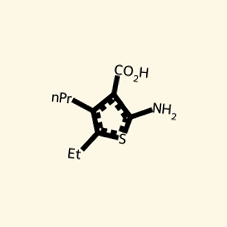 CCCc1c(CC)sc(N)c1C(=O)O